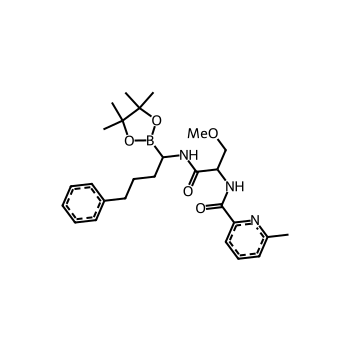 COCC(NC(=O)c1cccc(C)n1)C(=O)NC(CCCc1ccccc1)B1OC(C)(C)C(C)(C)O1